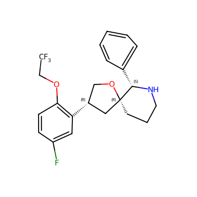 Fc1ccc(OCC(F)(F)F)c([C@@H]2CO[C@]3(CCCN[C@H]3c3ccccc3)C2)c1